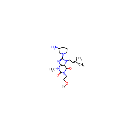 CCOCCn1c(=O)c2c(nc(N3CCCC(N)C3)n2CC=C(C)C)n(C)c1=O